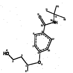 CC(CCO)Oc1ccc(C(=O)NC(C)(C)C)cc1